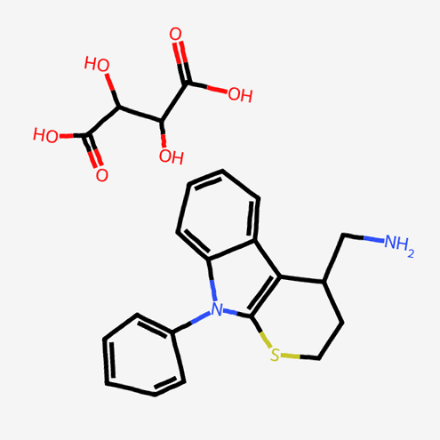 NCC1CCSc2c1c1ccccc1n2-c1ccccc1.O=C(O)C(O)C(O)C(=O)O